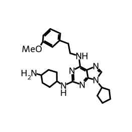 COc1cccc(CCNc2nc(NC3CCC(N)CC3)nc3c2ncn3C2CCCC2)c1